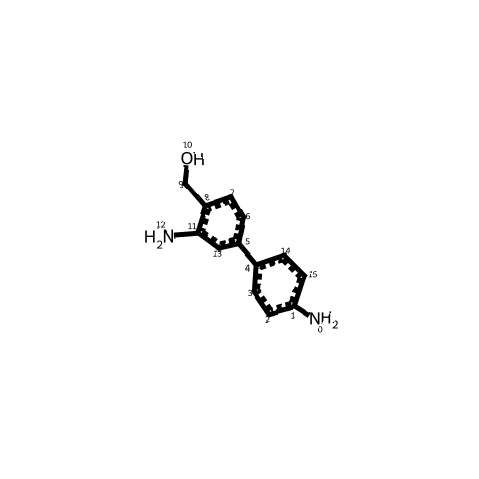 Nc1ccc(-c2ccc(CO)c(N)c2)cc1